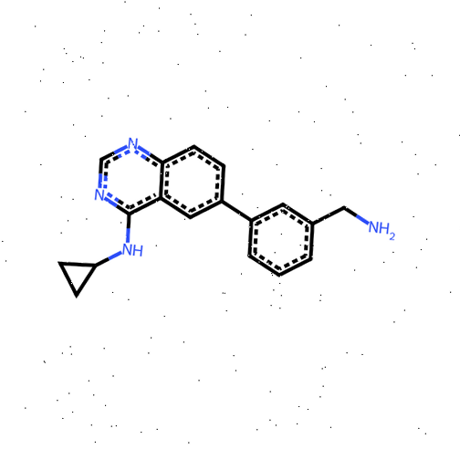 NCc1cccc(-c2ccc3ncnc(NC4CC4)c3c2)c1